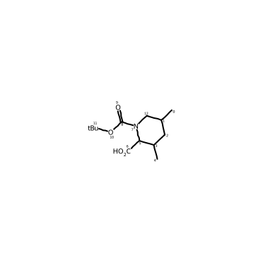 CC1CC(C)C(C(=O)O)N(C(=O)OC(C)(C)C)C1